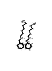 OCCCCCCNCc1ccccc1.OCCCCCNCc1ccccc1